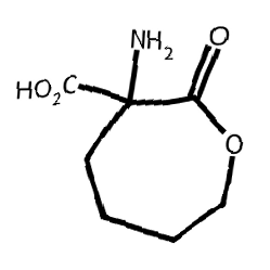 NC1(C(=O)O)CCCCOC1=O